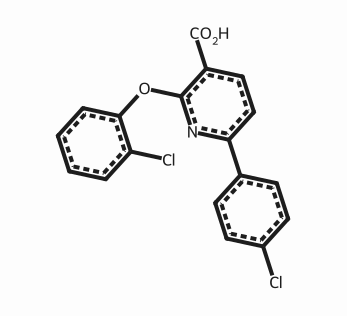 O=C(O)c1ccc(-c2ccc(Cl)cc2)nc1Oc1ccccc1Cl